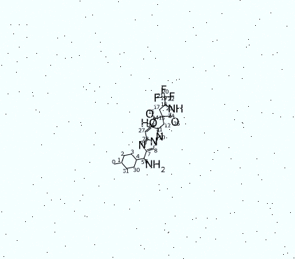 CC1CCC([C@H](N)c2cn3nc(CC4(C(=O)O)C[C@@H](C(F)(F)F)NC4=O)ccc3n2)CC1